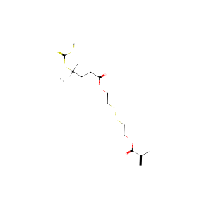 C=C(C)C(=O)OCCSSCCOC(=O)CCC(C)(C#N)SC(=S)SCC